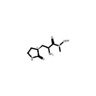 CON(C)C(=O)C(N)C[C@@H]1CCNC1=O